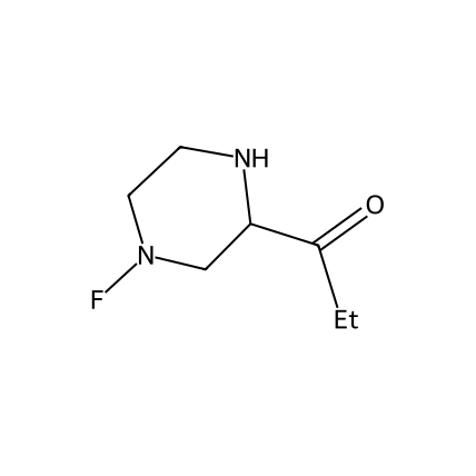 CCC(=O)C1CN(F)CCN1